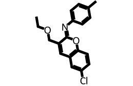 CCOCc1cc2cc(Cl)ccc2oc1=Nc1ccc(C)cc1